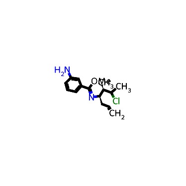 C=CC[C@@H](/N=C(\OC)c1cccc(N)c1)[C@H](C)C(C)Cl